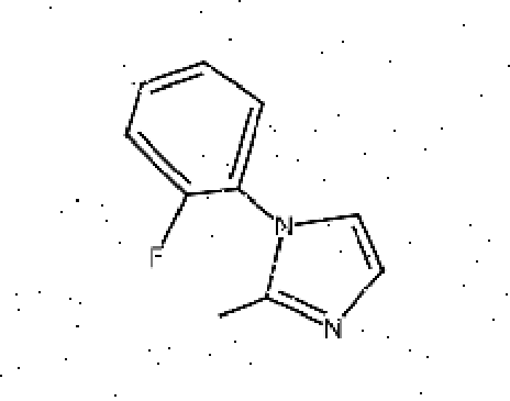 Cc1nccn1-c1cc[c]cc1F